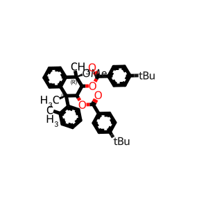 CO[C@]1(C)c2ccccc2[C@@](C)(c2ccccc2C)C(OC(=O)c2ccc(C(C)(C)C)cc2)C1OC(=O)c1ccc(C(C)(C)C)cc1